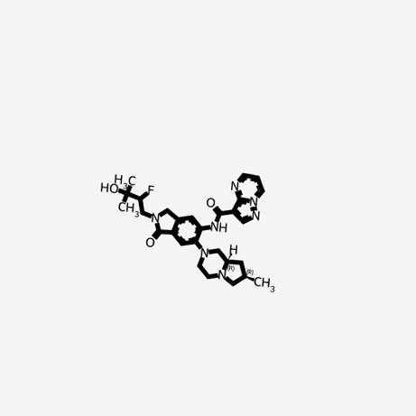 C[C@@H]1C[C@@H]2CN(c3cc4c(cc3NC(=O)c3cnn5cccnc35)CN(CC(F)C(C)(C)O)C4=O)CCN2C1